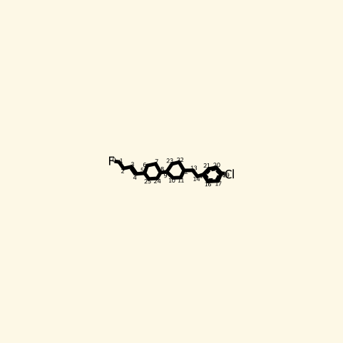 FCCC=CC1CCC(C2CCC(CCc3ccc(Cl)cc3)CC2)CC1